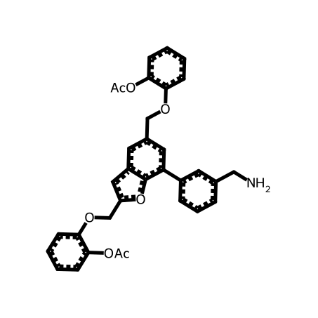 CC(=O)Oc1ccccc1OCc1cc(-c2cccc(CN)c2)c2oc(COc3ccccc3OC(C)=O)cc2c1